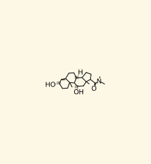 CN(C)C(=O)C1CCC2[C@@H]3CCC4=C[C@@H](O)CCC4(C)C3[C@@H](O)CC12C